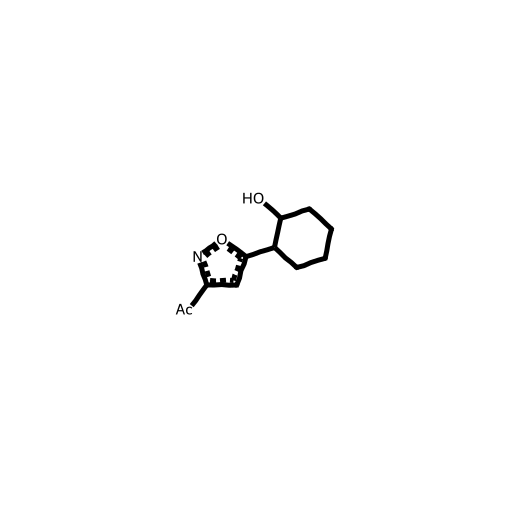 CC(=O)c1cc(C2CCCCC2O)on1